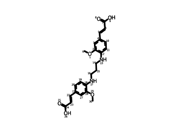 COc1cc(/C=C/C(=O)O)ccc1NCCCNc1ccc(/C=C/C(=O)O)cc1OC